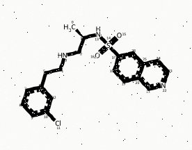 C[C@H](CNCCc1cccc(Cl)c1)NS(=O)(=O)c1ccc2cnccc2c1